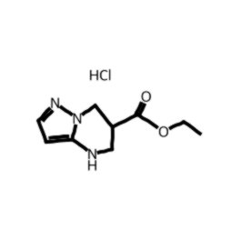 CCOC(=O)C1CNc2ccnn2C1.Cl